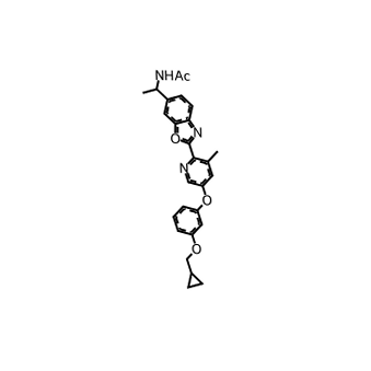 CC(=O)NC(C)c1ccc2nc(-c3ncc(Oc4cccc(OCC5CC5)c4)cc3C)oc2c1